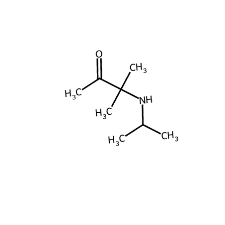 CC(=O)C(C)(C)NC(C)C